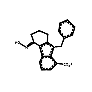 O=C(O)c1cccc2c3c(n(Cc4ccccc4)c12)CCCC3=NO